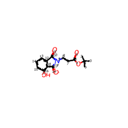 CC(C)(C)OC(=O)CCN1C(=O)c2cccc(O)c2C1=O